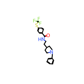 O=C(NCCC1CCN(Cc2ccccc2)CC1)c1ccc(SC(F)(F)F)cc1